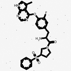 Cc1c[nH]c2ncnc(Oc3ccc(CC(N)C(=O)N4CCC(S(=O)(=O)c5ccccc5)C4)cc3F)c12